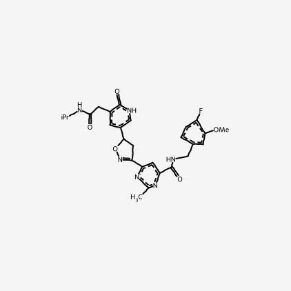 COc1cc(CNC(=O)c2cc(C3=NOC(c4c[nH]c(=O)c(CC(=O)NC(C)C)c4)C3)nc(C)n2)ccc1F